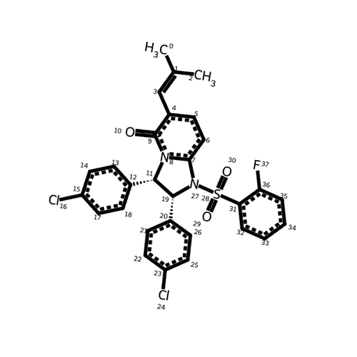 CC(C)=Cc1ccc2n(c1=O)[C@@H](c1ccc(Cl)cc1)[C@@H](c1ccc(Cl)cc1)N2S(=O)(=O)c1ccccc1F